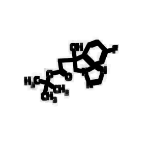 CC(C)(C)OC(=O)CC(O)(Cn1cncn1)c1ccc(F)cc1